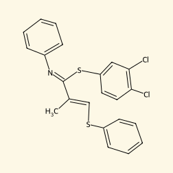 CC(=C\Sc1ccccc1)/C(=N/c1ccccc1)Sc1ccc(Cl)c(Cl)c1